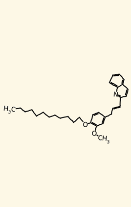 CCCCCCCCCCCCOc1ccc(CC=Cc2ccc3ccccc3n2)cc1OC